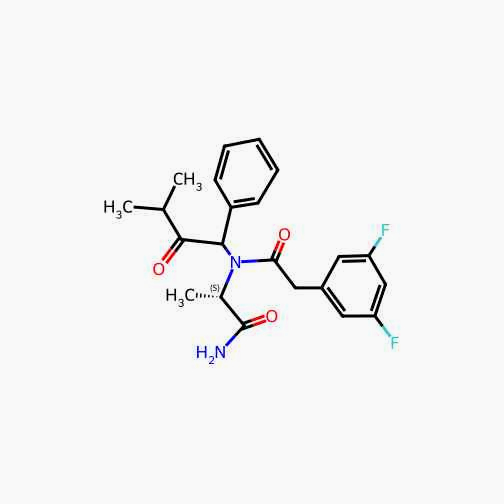 CC(C)C(=O)C(c1ccccc1)N(C(=O)Cc1cc(F)cc(F)c1)[C@@H](C)C(N)=O